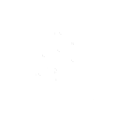 N=C(N)Nc1nc(N)nc(=O)n1C1OC(CO)C(O)C1O